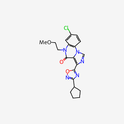 COCCn1c(=O)c2c(-c3nc(C4CCCC4)no3)ncn2c2ccc(Cl)cc21